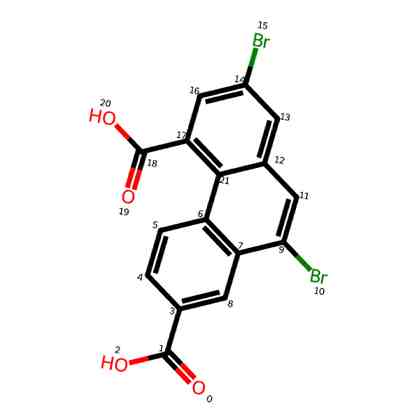 O=C(O)c1ccc2c(c1)c(Br)cc1cc(Br)cc(C(=O)O)c12